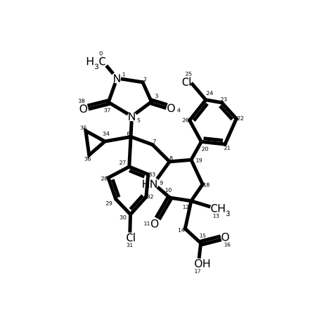 CN1CC(=O)N(C(CC2NC(=O)C(C)(CC(=O)O)CC2c2cccc(Cl)c2)(c2ccc(Cl)cc2)C2CC2)C1=O